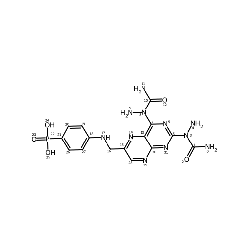 NC(=O)N(N)c1nc(N(N)C(N)=O)c2nc(CNc3ccc(P(=O)(O)O)cc3)cnc2n1